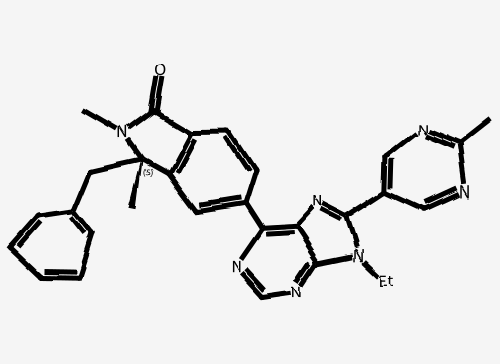 CCn1c(-c2cnc(C)nc2)nc2c(-c3ccc4c(c3)[C@](C)(Cc3ccccc3)N(C)C4=O)ncnc21